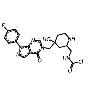 O=C(Cl)NCC1CC(O)(Cn2cnc3c(cnn3-c3ccc(F)cc3)c2=O)CCN1